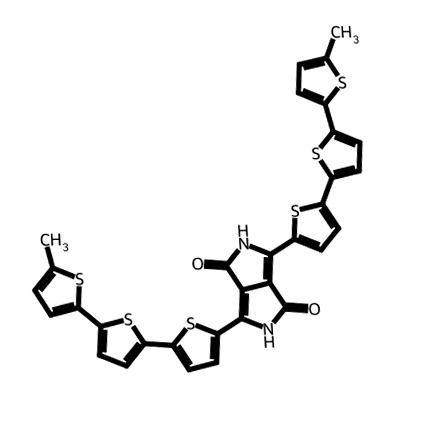 Cc1ccc(-c2ccc(-c3ccc(C4=C5C(=O)NC(c6ccc(-c7ccc(-c8ccc(C)s8)s7)s6)=C5C(=O)N4)s3)s2)s1